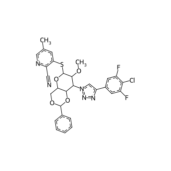 COC1C(Sc2cc(C)cnc2C#N)OC2COC(c3ccccc3)OC2C1n1cc(-c2cc(F)c(Cl)c(F)c2)nn1